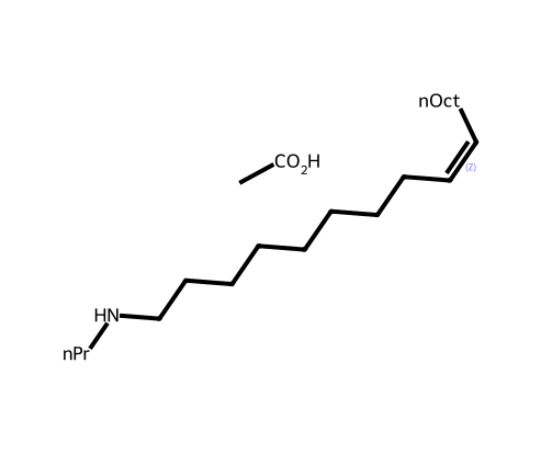 CC(=O)O.CCCCCCCC/C=C\CCCCCCCCNCCC